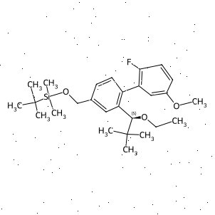 CCO[C@H](c1cc(CO[Si](C)(C)C(C)(C)C)ccc1-c1cc(OC)ccc1F)C(C)(C)C